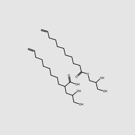 C=CCCCCCCCC(CC(O)CO)C(=O)O.C=CCCCCCCCCC(=O)OCC(O)CO